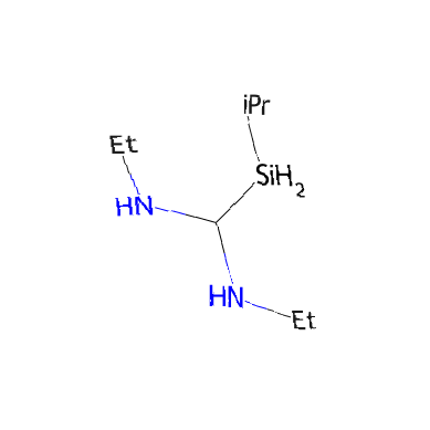 CCNC(NCC)[SiH2]C(C)C